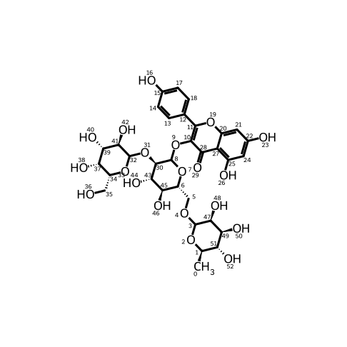 C[C@H]1OC(OC[C@H]2OC(Oc3c(-c4ccc(O)cc4)oc4cc(O)cc(O)c4c3=O)[C@H](OC3O[C@H](CO)[C@H](O)[C@H](O)[C@H]3O)[C@@H](O)[C@@H]2O)[C@@H](O)[C@@H](O)[C@@H]1O